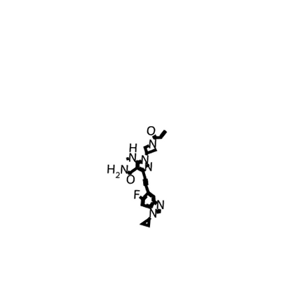 C=CC(=O)N1CC(n2nc(C#Cc3cc4ncn(C5CC5)c4cc3F)c(C(N)=O)c2NC)C1